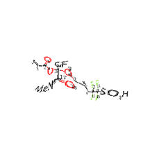 C=CC(=O)OC(OCCCC(F)(F)C(F)(F)S(=O)(=O)O)(C(=O)NC)C(F)(F)F